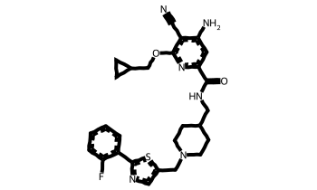 N#Cc1c(N)cc(C(=O)NCC2CCN(Cc3cnc(-c4ccccc4F)s3)CC2)nc1OCC1CC1